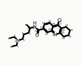 CCN(CC)CCCC(C)NC(=O)c1ccc2c(Cl)c3c(nc2c1)CCCC3